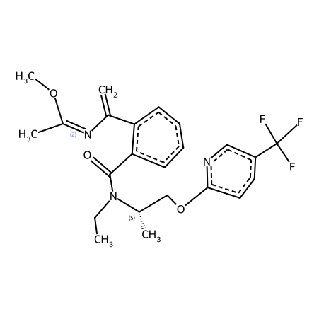 C=C(/N=C(/C)OC)c1ccccc1C(=O)N(CC)[C@@H](C)COc1ccc(C(F)(F)F)cn1